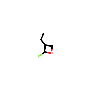 [CH2]CC1COC1F